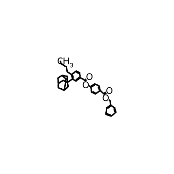 CCCCc1ccc(C(=O)Oc2ccc(C(=O)OCc3ccccc3)cc2)cc1C12CC3CC(CC(C3)C1)C2